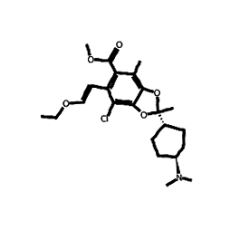 CCO/C=C/c1c(Cl)c2c(c(C)c1C(=O)OC)OC(C)([C@H]1CC[C@H](N(C)C)CC1)O2